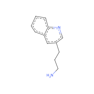 NCCCc1cnc2ccccc2c1